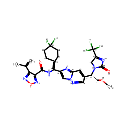 C=C(C)c1nonc1C(=O)NC(=C1CCC(F)(F)CC1)c1cn2ncc([C@@H](COC)N3CC(C(F)(F)F)=NC3=O)cc2n1